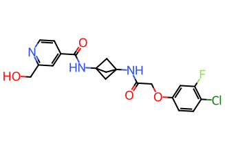 O=C(COc1ccc(Cl)c(F)c1)NC12CC(NC(=O)c3ccnc(CO)c3)(C1)C2